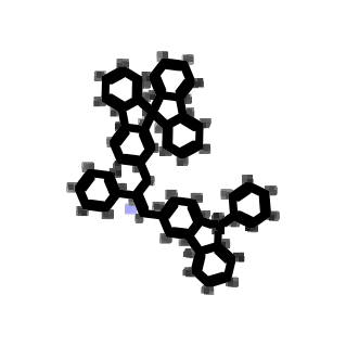 C(=C(/Cc1ccc2c(c1)C1(c3ccccc3-c3ccccc31)c1ccccc1-2)c1ccccc1)/c1ccc2c(c1)c1ccccc1n2-c1ccccc1